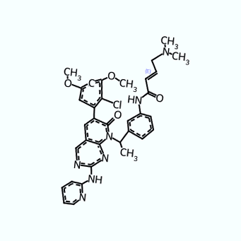 COc1cc(OC)c(Cl)c(-c2cc3cnc(Nc4ccccn4)nc3n(C(C)c3cccc(NC(=O)/C=C/CN(C)C)c3)c2=O)c1